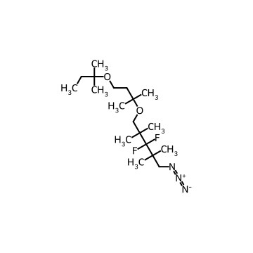 CCC(C)(C)OCCC(C)(C)OCC(C)(C)C(F)(F)C(C)(C)CN=[N+]=[N-]